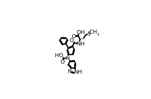 CSCC[C@H](NC(=O)c1ccc(N(C(=O)O)c2ccc3[nH]cnc3c2)cc1-c1ccccc1)C(=O)O